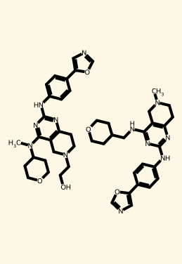 CN(c1nc(Nc2ccc(-c3cnco3)cc2)nc2c1CN(CCO)CC2)C1CCOCC1.CN1CCc2nc(Nc3ccc(-c4cnco4)cc3)nc(NCC3CCOCC3)c2C1